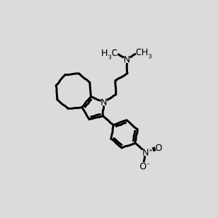 CN(C)CCCn1c(-c2ccc([N+](=O)[O-])cc2)cc2c1CCCCCC2